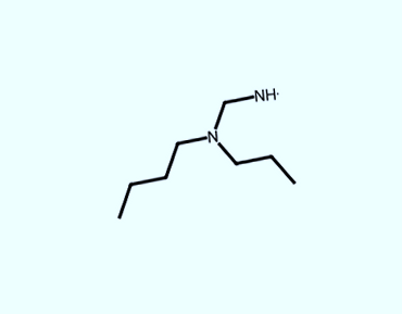 CCCCN(C[NH])CCC